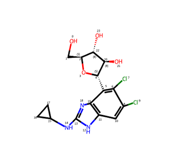 OC[C@@H]1O[C@@H](c2c(Cl)c(Cl)cc3[nH]c(NC4CC4)nc23)[C@H](O)[C@H]1O